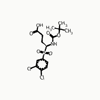 CC(C)(C)OC(=O)N[C@H](CCC(=O)O)S(=O)(=O)c1ccc(Cl)c(Cl)c1